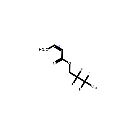 O=C(O)/C=C\C(=O)OCC(F)(F)C(F)(F)C(F)(F)F